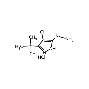 CC(C)(C)c1n[nH]c(NN)c1Cl.Cl